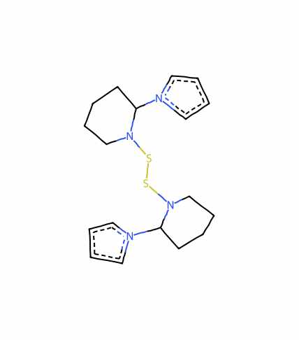 c1ccn(C2CCCCN2SSN2CCCCC2n2cccc2)c1